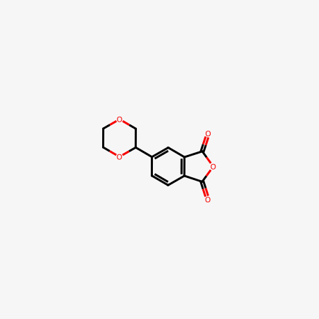 O=C1OC(=O)c2cc(C3COCCO3)ccc21